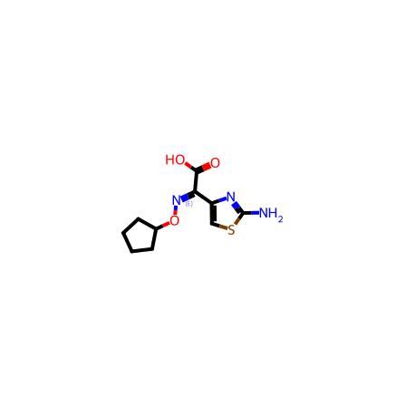 Nc1nc(/C(=N\OC2CCCC2)C(=O)O)cs1